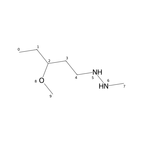 CCC(CCNNC)OC